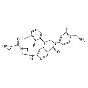 NCc1ccc(N2C[C@H](c3cccc(Cl)c3F)c3cc(NC4CN(C(=O)C5CP5)C4)ncc3C2=O)cc1F